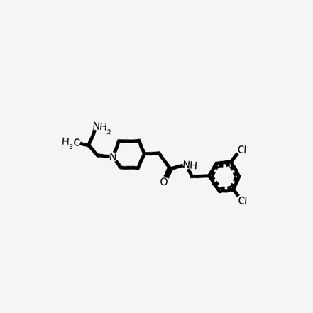 CC(N)CN1CCC(CC(=O)NCc2cc(Cl)cc(Cl)c2)CC1